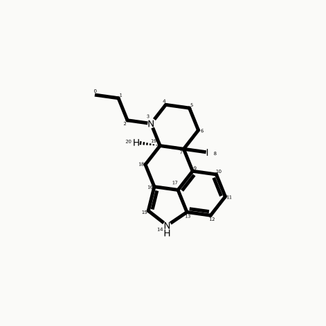 CCCN1CCCC2(I)c3cccc4[nH]cc(c34)C[C@@H]12